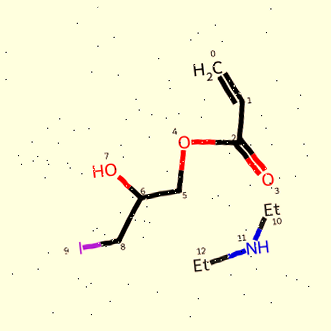 C=CC(=O)OCC(O)CI.CCNCC